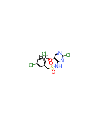 COc1cnc(Cl)nc1NS(=O)(=O)Cc1cc(Cl)cc(Cl)c1